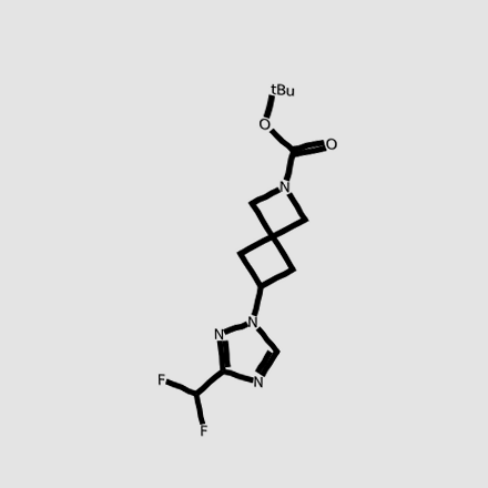 CC(C)(C)OC(=O)N1CC2(CC(n3cnc(C(F)F)n3)C2)C1